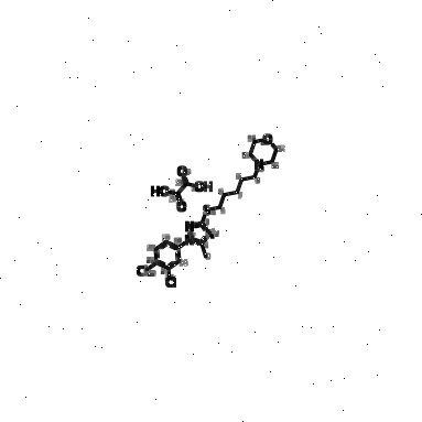 Cc1nc(SCCCCCN2CCOCC2)nn1-c1ccc(Cl)c(Cl)c1.O=C(O)C(=O)O